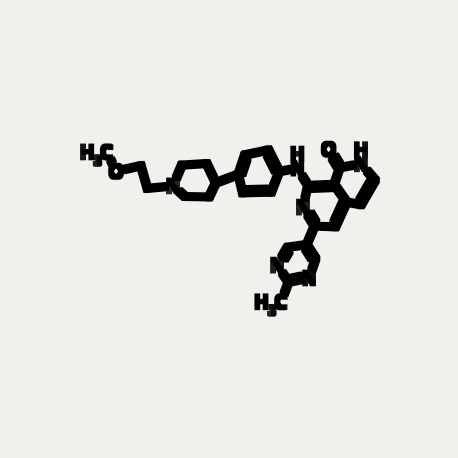 COCCN1CCC(c2ccc(Nc3nc(-c4cnc(C)nc4)cc4cc[nH]c(=O)c34)cc2)CC1